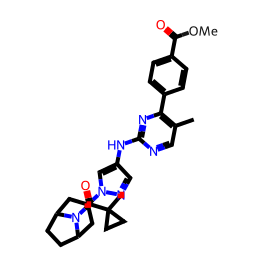 COC(=O)c1ccc(-c2nc(Nc3cnn(C4CC5CCC(C4)N5C(=O)C4(C)CC4)c3)ncc2C)cc1